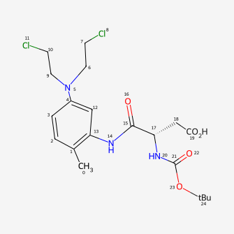 Cc1ccc(N(CCCl)CCCl)cc1NC(=O)[C@H](CC(=O)O)NC(=O)OC(C)(C)C